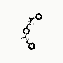 O=C(OCc1ccccc1)N1CCC(CN[C@@H]2C[C@H]2c2ccccc2)CC1